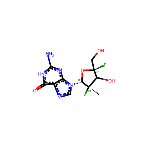 C[C@@]1(F)C(O)[C@@](F)(CO)O[C@H]1n1cnc2c(=O)[nH]c(N)nc21